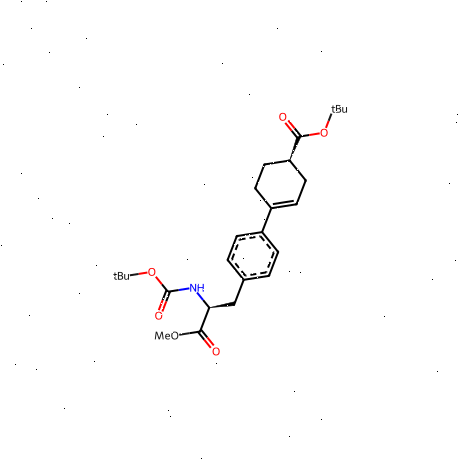 COC(=O)[C@H](Cc1ccc(C2=CC[C@H](C(=O)OC(C)(C)C)CC2)cc1)NC(=O)OC(C)(C)C